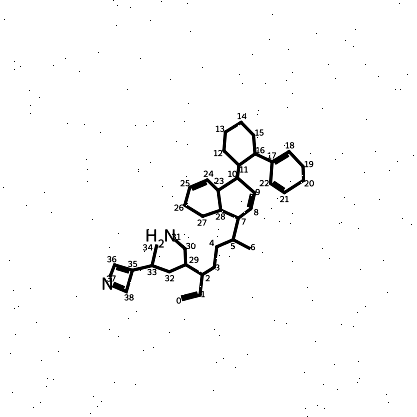 C=CC(CCC(C)C1C=CC(C2CCCCC2C2=CCCC=C2)C2C=CCCC12)C(CN)CC(C)C1=CN=C1